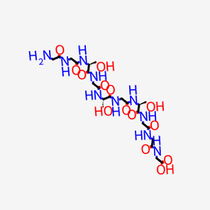 NCC(=O)NCC(=O)N[C@@H](CO)C(=O)NCC(=O)N[C@@H](CO)C(=O)NCC(=O)N[C@@H](CO)C(=O)NCC(=O)NCC(=O)NCC(=O)O